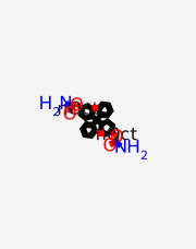 CCCCCCCCc1ccccc1C(c1ccccc1CCCCCCCC)(C1CCC(OC(N)=O)CC1)C1CCC(OC(N)=O)CC1